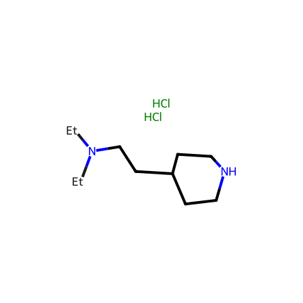 CCN(CC)CCC1CCNCC1.Cl.Cl